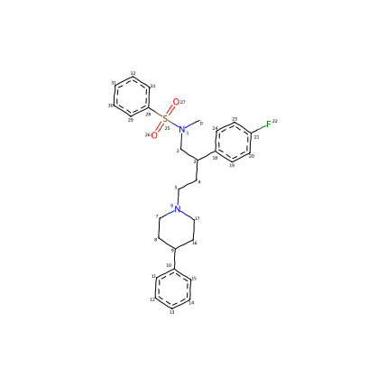 CN(CC(CCN1CCC(c2ccccc2)CC1)c1ccc(F)cc1)S(=O)(=O)c1ccccc1